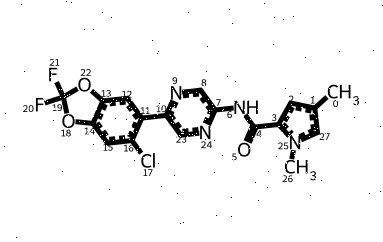 Cc1cc(C(=O)Nc2cnc(-c3cc4c(cc3Cl)OC(F)(F)O4)cn2)n(C)c1